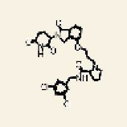 O=C1CCC(N2Cc3c(OCCCN4CCCC4C(=O)NCc4cc(Cl)cc(Cl)c4)cccc3C2=O)C(=O)N1